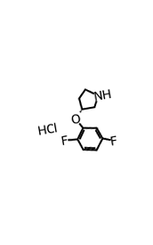 Cl.Fc1ccc(F)c(O[C@@H]2CCNC2)c1